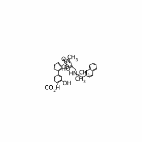 CN(C[C@H](O)CNC(C)(C)Cc1ccc2ccccc2c1)S(=O)(=O)c1cccc(-c2ccc(C(=O)O)c(O)c2)c1